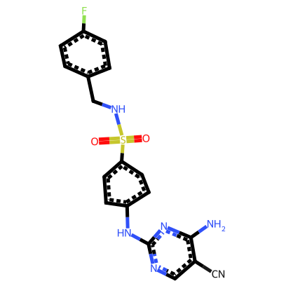 N#Cc1cnc(Nc2ccc(S(=O)(=O)NCc3ccc(F)cc3)cc2)nc1N